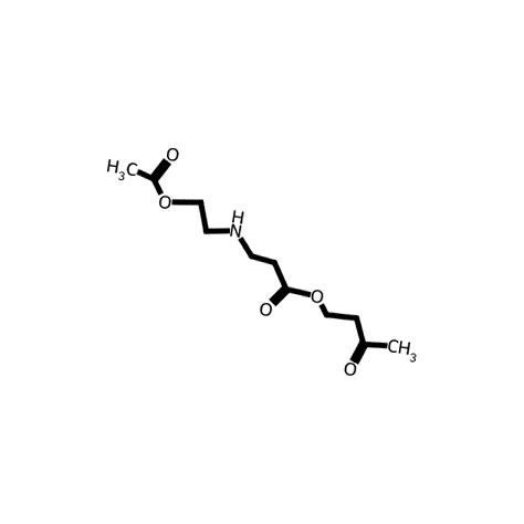 CC(=O)CCOC(=O)CCNCCOC(C)=O